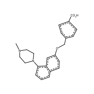 CN1CCN(c2cccc3ccc(OCc4ccc(C(=O)O)cc4)cc23)CC1